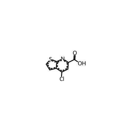 O=C(O)c1cc(Cl)c2ccsc2n1